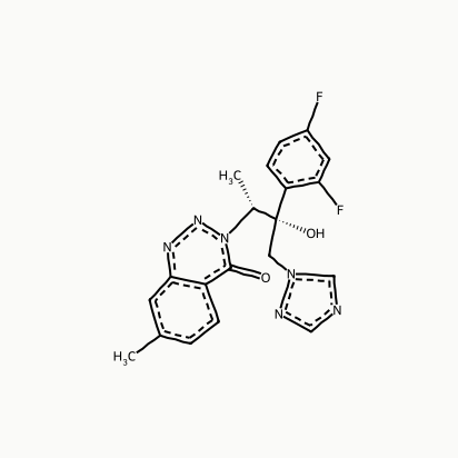 Cc1ccc2c(=O)n([C@H](C)[C@](O)(Cn3cncn3)c3ccc(F)cc3F)nnc2c1